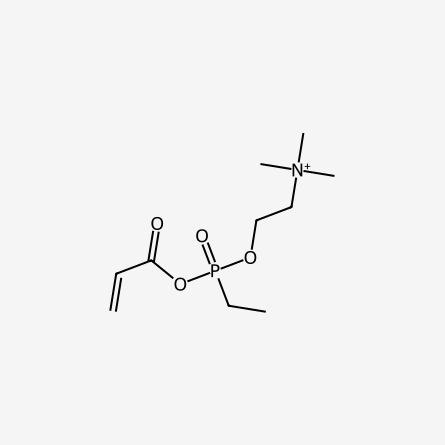 C=CC(=O)OP(=O)(CC)OCC[N+](C)(C)C